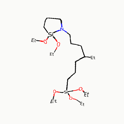 CCO[Si](CCC[C](CC)CCCN1CCC[Si]1(OCC)OCC)(OCC)OCC